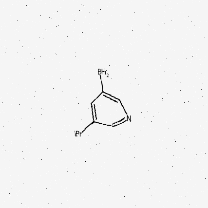 Bc1cncc(C(C)C)c1